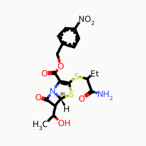 CCC(SC1=C(C(=O)OCc2ccc([N+](=O)[O-])cc2)N2C(=O)C(C(C)O)[C@H]2S1)C(N)=O